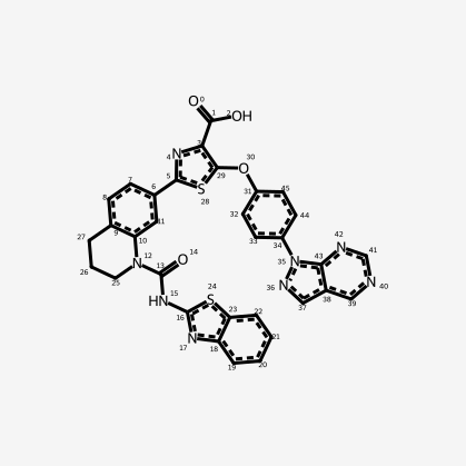 O=C(O)c1nc(-c2ccc3c(c2)N(C(=O)Nc2nc4ccccc4s2)CCC3)sc1Oc1ccc(-n2ncc3cncnc32)cc1